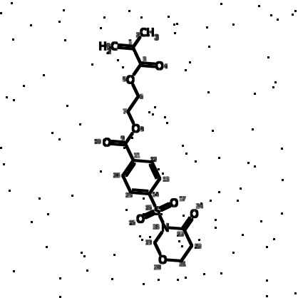 C=C(C)C(=O)OCCOC(=O)c1ccc(S(=O)(=O)N2COCCC2=O)cc1